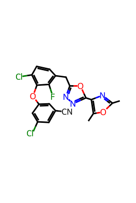 Cc1nc(-c2nnc(Cc3ccc(Cl)c(Oc4cc(Cl)cc(C#N)c4)c3F)o2)c(C)o1